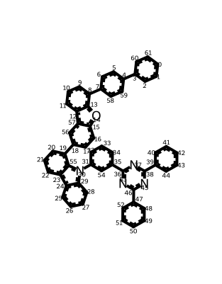 c1ccc(-c2ccc(-c3cccc4c3oc3ccc(-c5cccc6c7ccccc7n(-c7cccc(-c8nc(-c9ccccc9)nc(-c9ccccc9)n8)c7)c56)cc34)cc2)cc1